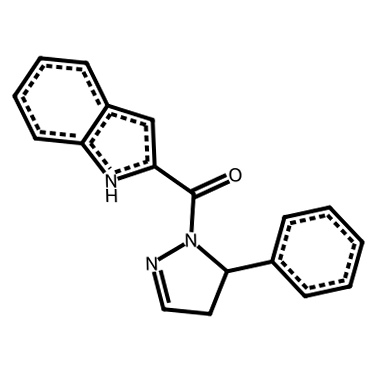 O=C(c1cc2ccccc2[nH]1)N1N=CCC1c1ccccc1